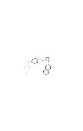 Cc1cc(C(=O)Nc2ccc(C(=N)N3CCC(C(=O)O)CC3)cc2F)n(-c2cc3ccccc3cc2F)n1